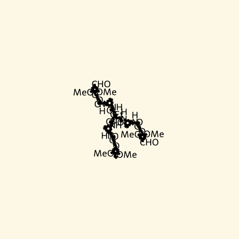 C=Cc1c(OC)cc(OCCOC(=O)NCC2(C)CC(NC(=O)OCC(CC)(CCC(=O)NC3CC(C)(C)CC(C)(CNC(=O)OCCOc4c(OC)cc(C=O)cc4OC)C3)OCC(=O)NC3CC(C)(C)CC(C)(CNC(=O)OCCOc4c(OC)cc(C=O)cc4OC)C3)CC(C)(C)C2)cc1OC